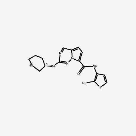 N#Cc1sccc1NC(=O)c1ccc2cnc(N[C@@H]3CCCNC3)nn12